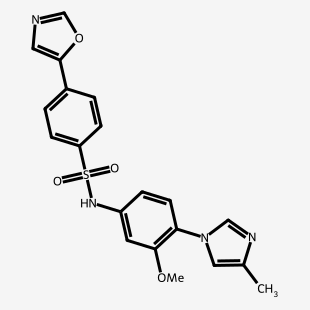 COc1cc(NS(=O)(=O)c2ccc(-c3cnco3)cc2)ccc1-n1cnc(C)c1